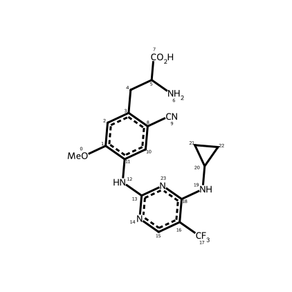 COc1cc(CC(N)C(=O)O)c(C#N)cc1Nc1ncc(C(F)(F)F)c(NC2CC2)n1